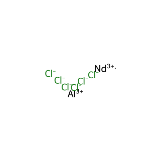 [Al+3].[Cl-].[Cl-].[Cl-].[Cl-].[Cl-].[Cl-].[Nd+3]